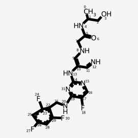 CC(CO)NC(=O)CN/C=C(\C=N)Nc1ncc(F)c(NCc2c(F)cc(F)cc2F)n1